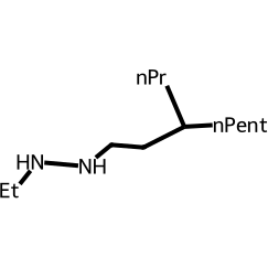 CCCCCC(CCC)CCNNCC